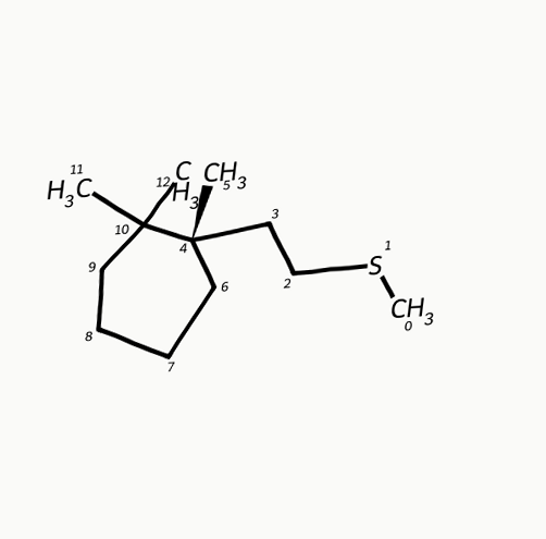 CSCC[C@]1(C)CCCCC1(C)C